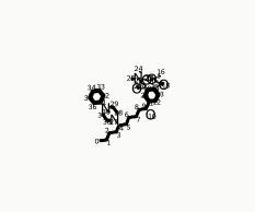 CCCCC(CCCCC(=O)c1ccc(S(C)(=O)=O)c(S(=O)(=O)N(C)C)c1)N1CCN(c2ccccc2)CC1